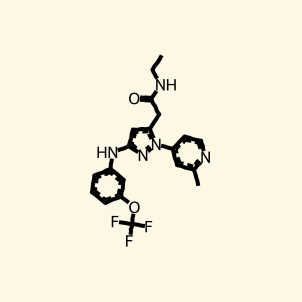 CCNC(=O)Cc1cc(Nc2cccc(OC(F)(F)F)c2)nn1-c1ccnc(C)c1